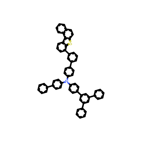 c1ccc(-c2ccc(N(c3ccc(-c4cc(-c5ccccc5)cc(-c5ccccc5)c4)cc3)c3ccc(-c4cccc(-c5cccc6c5sc5ccc7ccccc7c56)c4)cc3)cc2)cc1